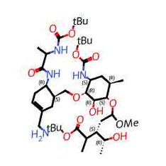 COC(C[C@@H](C(C)C(=O)OC(C)(C)C)[C@@H](C)O)O[C@@H]1[C@@H](O)[C@H](OC[C@H]2CC(CN)=CC[C@H]2NC(=O)C(C)NC(=O)OC(C)(C)C)[C@@H](NC(=O)OC(C)(C)C)C[C@H]1C